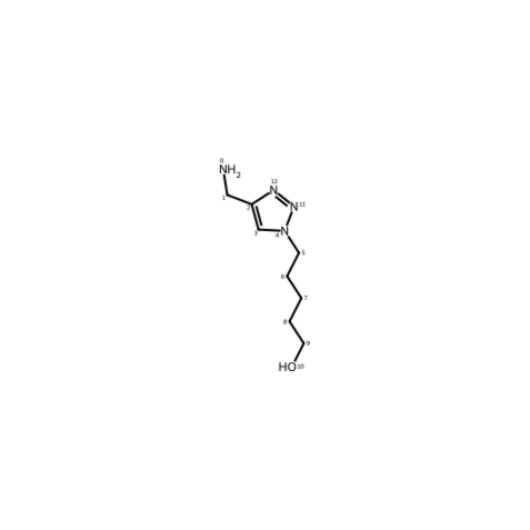 NCc1cn(CCCCCO)nn1